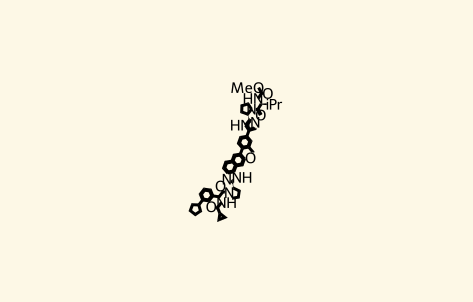 COC(=O)N[C@H](C(=O)N1CCC[C@H]1c1ncc(-c2ccc3c(c2)COc2cc4c(ccc5nc([C@@H]6CCCN6C(=O)[C@H](NC(=O)C6CC6)c6cccc(C7CCCC7)c6)[nH]c54)cc2-3)[nH]1)C(C)C